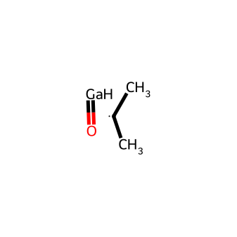 C[CH]C.[O]=[GaH]